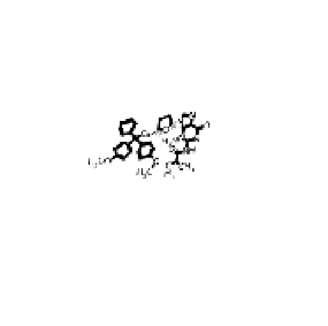 COc1ccc(C(OC[C@@H]2CC[C@H](n3cnc4c(=O)nc(NC(=O)C(C)C)n(N)c43)O2)(c2ccccc2)c2ccc(OC)cc2)cc1